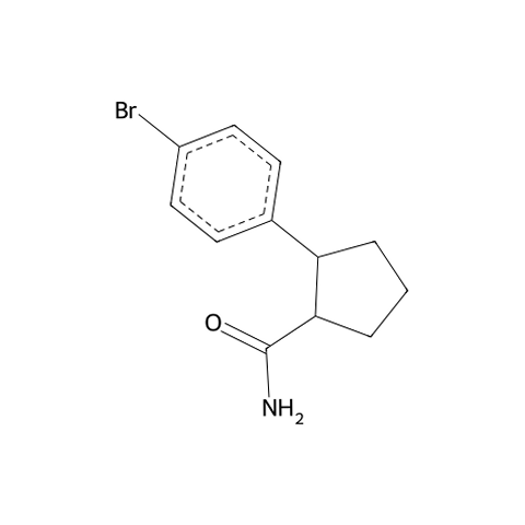 NC(=O)C1CCCC1c1ccc(Br)cc1